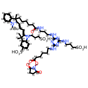 CCCC[N+]1=C(/C=C/C=C2/N(CCCS(=O)(=O)O)c3ccc(S(=O)(=O)O)cc3C2(C)C)C(C)(CCCCCC(=O)NCCCNc2nc(NCCCCCC(=O)ON3C(=O)CCC3=O)nc(NCCCS(=O)(=O)O)n2)c2ccccc21